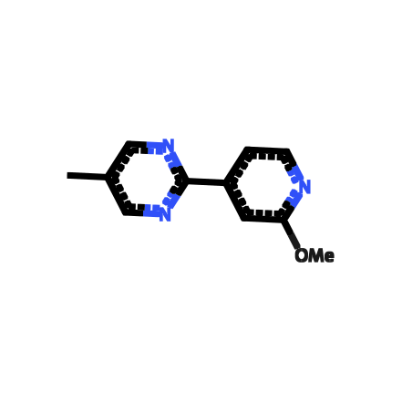 COc1cc(-c2ncc(C)cn2)ccn1